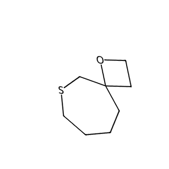 C1CCC2(CCO2)CSC1